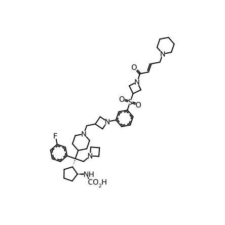 O=C(O)N[C@H]1CCC[C@@H]1C(CN1CCC1)(c1cccc(F)c1)C1CCN(CC2CN(c3cccc(S(=O)(=O)C4CN(C(=O)/C=C/CN5CCCCC5)C4)c3)C2)CC1